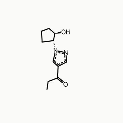 CCC(=O)c1cnn([C@@H]2CCC[C@H]2O)c1